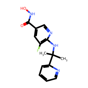 CC(C)(Nc1ncc(C(=O)NO)cc1F)c1ccccn1